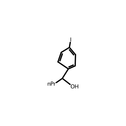 CCCC(O)c1ccc(I)cc1